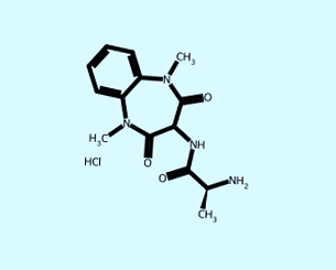 C[C@H](N)C(=O)NC1C(=O)N(C)c2ccccc2N(C)C1=O.Cl